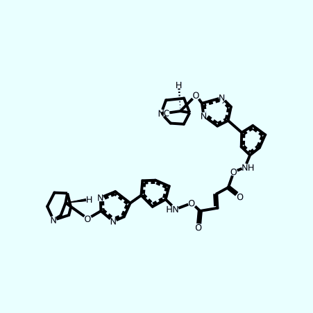 O=C(/C=C/C(=O)ONc1cccc(-c2cnc(O[C@@H]3CN4CCC3CC4)nc2)c1)ONc1cccc(-c2cnc(O[C@@H]3CN4CCC3CC4)nc2)c1